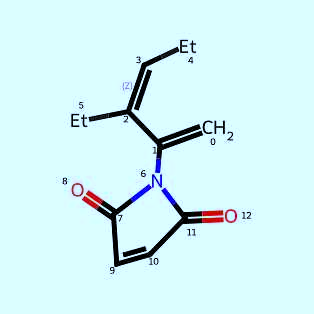 C=C(/C(=C\CC)CC)N1C(=O)C=CC1=O